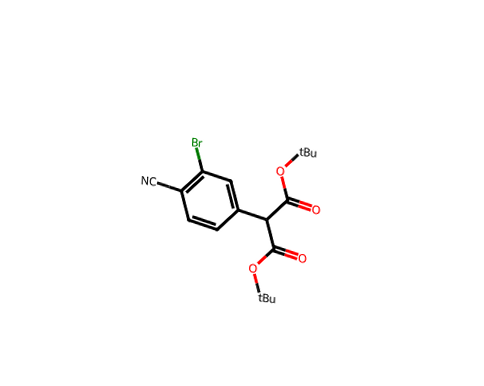 CC(C)(C)OC(=O)C(C(=O)OC(C)(C)C)c1ccc(C#N)c(Br)c1